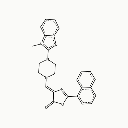 Cn1c(N2CCN(C=C3N=C(c4cccc5ccccc45)OC3=O)CC2)nc2ccccc21